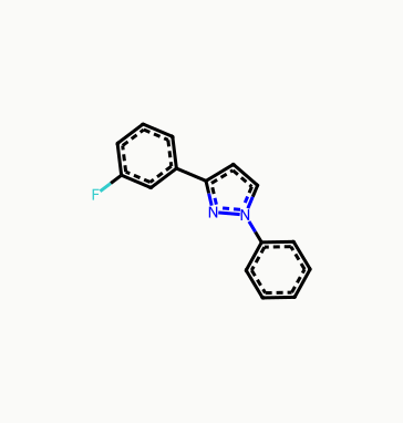 Fc1cccc(-c2ccn(-c3ccccc3)n2)c1